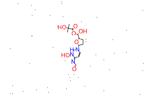 CN(/C=C\C(=N/C=O)NO)C1CCC(C(O)OC(=O)C(C)(C)O)O1